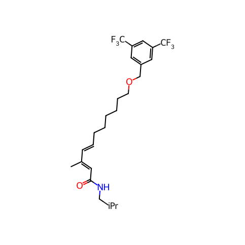 CC(C=CCCCCCCOCc1cc(C(F)(F)F)cc(C(F)(F)F)c1)=CC(=O)NCC(C)C